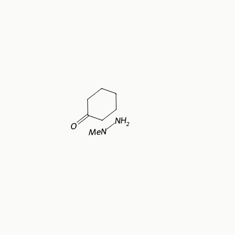 CNN.O=C1CCCCC1